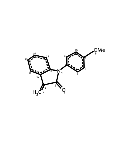 C=C1C(=O)N(c2ccc(OC)cc2)c2ccccc21